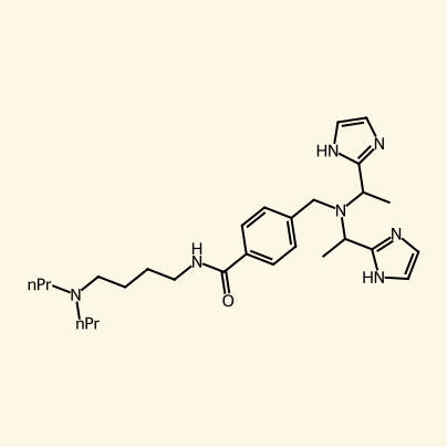 CCCN(CCC)CCCCNC(=O)c1ccc(CN(C(C)c2ncc[nH]2)C(C)c2ncc[nH]2)cc1